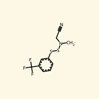 [CH2]N(CC#N)SSc1cccc(C(F)(F)F)c1